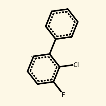 Fc1cc[c]c(-c2ccccc2)c1Cl